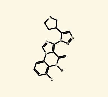 CC(C)n1c(=O)c2c(-n3nncc3C3CCOC3)ncn2c2cccc(Cl)c21